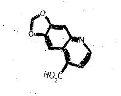 O=C(O)c1ccnc2cc3c(cc12)OCO3